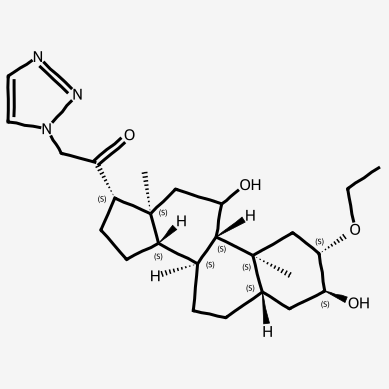 CCO[C@H]1C[C@@]2(C)[C@@H](CC[C@H]3[C@@H]4CC[C@H](C(=O)Cn5ccnn5)[C@@]4(C)CC(O)[C@@H]32)C[C@@H]1O